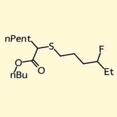 CCCCCC(SCCCC(F)CC)C(=O)OCCCC